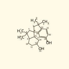 CC1(C)CC2(CC(C)(C)C3CCC(O)CC32)c2cc(O)ccc21